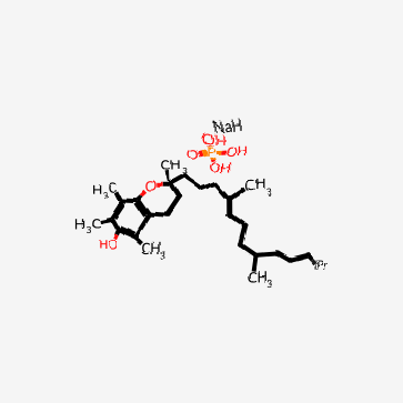 Cc1c(C)c2c(c(C)c1O)CC[C@@](C)(CCCC(C)CCCC(C)CCCC(C)C)O2.O=P(O)(O)O.[NaH]